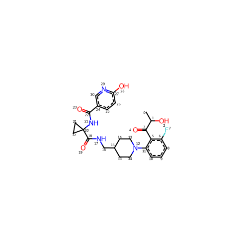 CC(O)C(=O)c1c(F)cccc1N1CCC(CNC(=O)C2(NC(=O)c3ccc(O)nc3)CC2)CC1